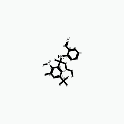 CCCCC(C)(Pc1ccccc1C=O)c1cc(C(C)(C)C)cc(C)c1OC